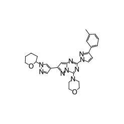 Cc1cccc(-c2ccn(-c3nc(N4CCOCC4)n4nc(-c5cnn(C6CCCCO6)c5)cc4n3)n2)c1